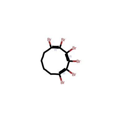 Br/C1=C(Br)/C(Br)=C(Br)\C(Br)=C(\Br)CCCC1